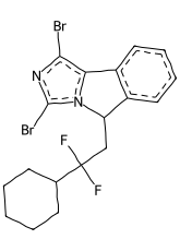 FC(F)(CC1c2ccccc2-c2c(Br)nc(Br)n21)C1CCCCC1